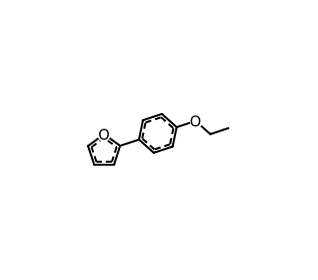 CCOc1ccc(-c2ccco2)cc1